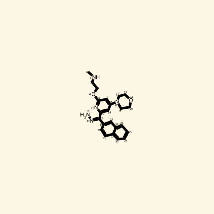 CNCCOc1cc(N2CCOCC2)cc(/C(=N\N)c2ccc3ccccc3c2)n1